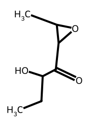 CCC(O)C(=O)C1OC1C